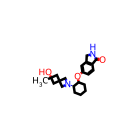 CC1(O)CC2(CN([C@H]3CCCCC3Oc3ccc4c(c3)CNC4=O)C2)C1